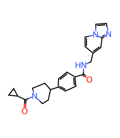 O=C(NCc1ccn2ccnc2c1)c1ccc(C2CCN(C(=O)C3CC3)CC2)cc1